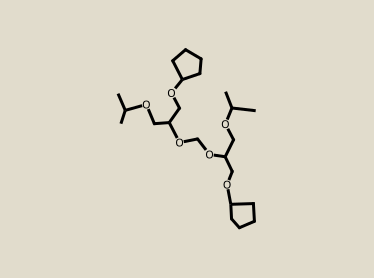 CC(C)OCC(COC1CCCC1)OCOC(COC(C)C)COC1CCCC1